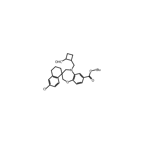 CC(C)(C)OC(=O)c1ccc2c(c1)N(CC1CCC1C=O)CC1(CCCc3cc(Cl)ccc31)CO2